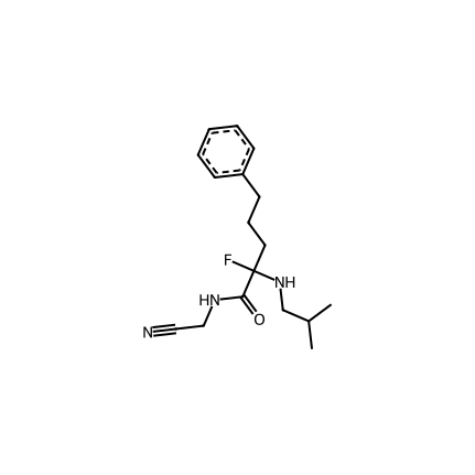 CC(C)CNC(F)(CCCc1ccccc1)C(=O)NCC#N